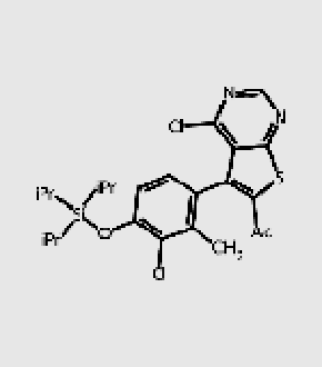 CC(=O)c1sc2ncnc(Cl)c2c1-c1ccc(O[Si](C(C)C)(C(C)C)C(C)C)c(Cl)c1C